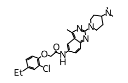 CCc1ccc(OCC(=O)Nc2ccc3nc(N4CCC(N(C)C)CC4)nc(C)c3c2)c(Cl)c1